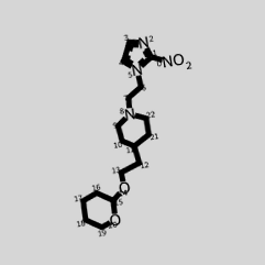 O=[N+]([O-])c1nccn1CCN1CCC(CCOC2CCCCO2)CC1